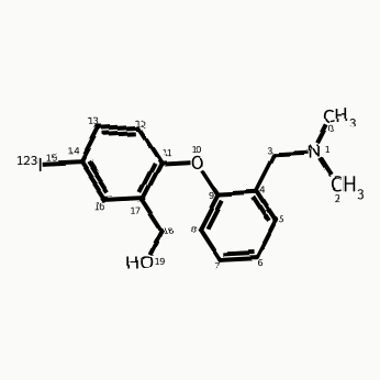 CN(C)Cc1ccccc1Oc1ccc([123I])cc1CO